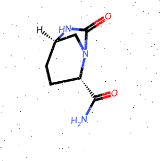 NC(=O)[C@@H]1CC[C@@H]2CN1C(=O)N2